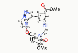 COC(=O)c1cc2cc(c1)-c1cnn3ccc(nc13)OC[C@@H]1C[C@@H](OC)C(=O)N1CCN2